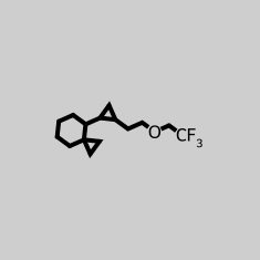 FC(F)(F)COCCC1CC1C1CCCCC12CC2